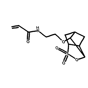 C=CC(=O)NCCOC1C2CC3C1OS(=O)(=O)C3C2